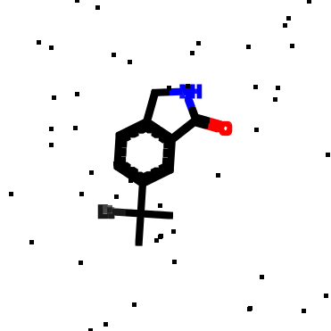 CCC(C)(C)c1ccc2c(c1)C(=O)NC2